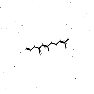 C=CCC(=O)/C=C(\C)CCC=C(C)C